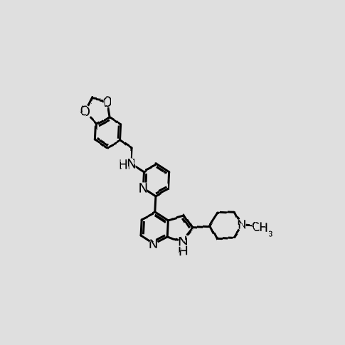 CN1CCC(c2cc3c(-c4cccc(NCc5ccc6c(c5)OCO6)n4)ccnc3[nH]2)CC1